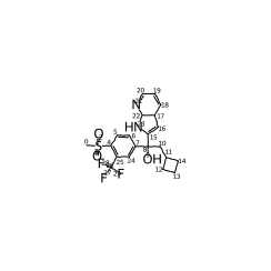 CS(=O)(=O)c1ccc(C(O)(CC2CCC2)C2=CC3C=CC=NC3N2)cc1C(F)(F)F